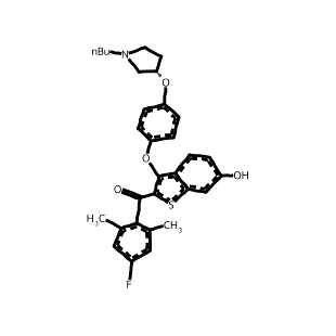 CCCCN1CC[C@H](Oc2ccc(Oc3c(C(=O)c4c(C)cc(F)cc4C)sc4cc(O)ccc34)cc2)C1